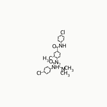 Cc1cc(C(=O)Nc2ccc(Cl)cc2)ccc1N(CCN(C)C)C(=O)Nc1ccc(Cl)cc1